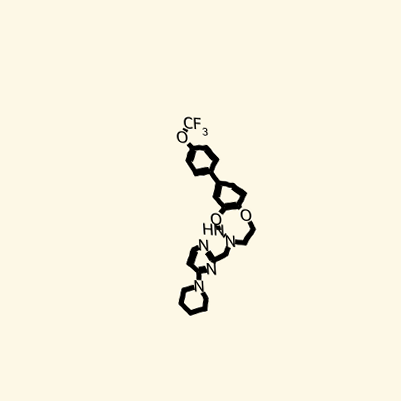 FC(F)(F)Oc1ccc(-c2ccc3c(c2)ONN(Cc2nccc(N4CCCCC4)n2)CCO3)cc1